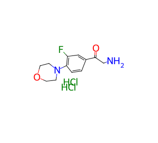 Cl.Cl.NCC(=O)c1ccc(N2CCOCC2)c(F)c1